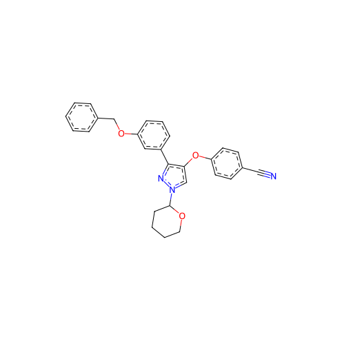 N#Cc1ccc(Oc2cn(C3CCCCO3)nc2-c2cccc(OCc3ccccc3)c2)cc1